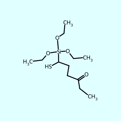 CCO[Si](OCC)(OCC)C(S)CCC(=O)CC